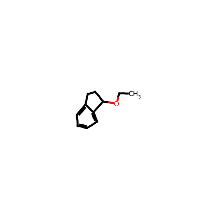 CCOC1[CH]Cc2ccccc21